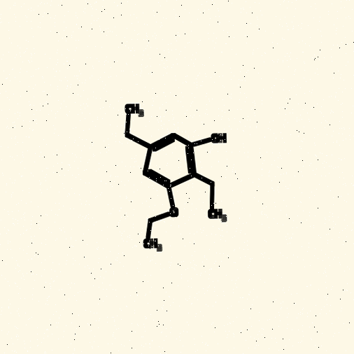 CCOc1cc(CC)cc(O)c1CC